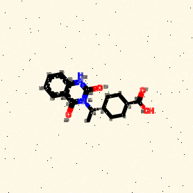 CC([C@H]1CC[C@H](C(=O)O)CC1)n1c(=O)[nH]c2ccccc2c1=O